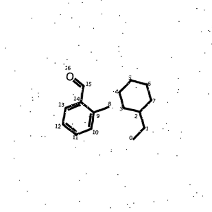 CCC1CCCCC1.Cc1ccccc1C=O